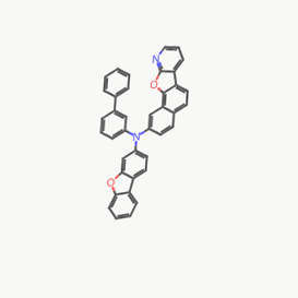 c1ccc(-c2cccc(N(c3ccc4c(c3)oc3ccccc34)c3ccc4ccc5c6cccnc6oc5c4c3)c2)cc1